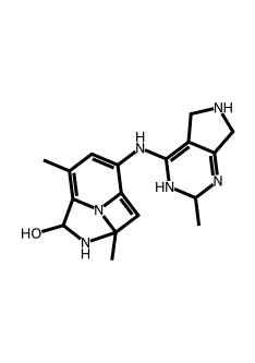 CC1=C2C(O)NC3(C)C=C(C(NC4=C5CNCC5=NC(C)N4)=C1)N23